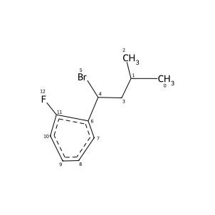 CC(C)CC(Br)c1ccccc1F